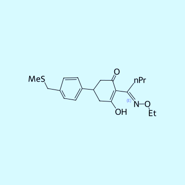 CCC/C(=N\OCC)C1=C(O)CC(c2ccc(CSC)cc2)CC1=O